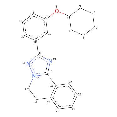 c1cc(OC2CCCCC2)cc(-c2nc3n(n2)CCc2ccccc2-3)c1